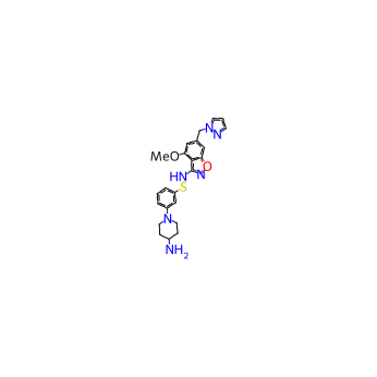 COc1cc(Cn2cccn2)cc2onc(NSc3cccc(N4CCC(N)CC4)c3)c12